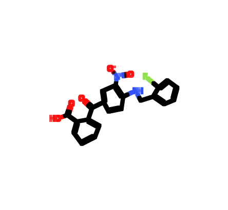 O=C(O)c1ccccc1C(=O)c1ccc(NCc2ccccc2F)c([N+](=O)[O-])c1